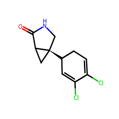 O=C1NC[C@]2(C3C=C(Cl)C(Cl)=CC3)CC12